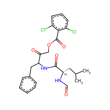 CC(C)C[C@H](NC=O)C(=O)NC(Cc1ccccc1)C(=O)COC(=O)c1c(Cl)cccc1Cl